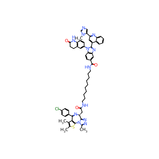 Cc1sc2c(c1C)C(c1ccc(Cl)cc1)=N[C@@H](CC(=O)NCCCCCCCCCCNC(=O)c1ccc3c(c1)nc(-c1cc(-c4cncn4C)nc4ccccc14)n3-c1ccc3c(c1)CCC(=O)N3)c1nnc(C)n1-2